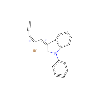 C#C/C=C(Br)\C=C1/CN(c2cc#ccc2)c2ccccc21